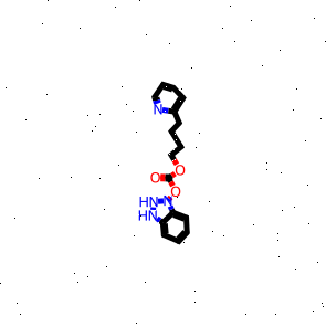 O=C(OCCCCc1ccccn1)ON1NNc2ccccc21